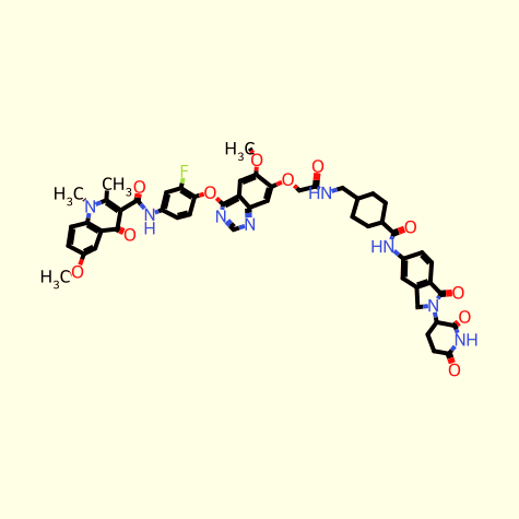 COc1ccc2c(c1)c(=O)c(C(=O)Nc1ccc(Oc3ncnc4cc(OCC(=O)NCC5CCC(C(=O)Nc6ccc7c(c6)CN(C6CCC(=O)NC6=O)C7=O)CC5)c(OC)cc34)c(F)c1)c(C)n2C